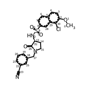 COc1ccc2ccc(S(=O)(=O)N[C@H]3CCN(Cc4cccc(C#N)c4)C3=O)cc2c1Cl